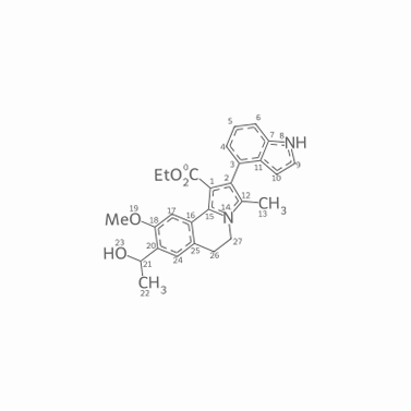 CCOC(=O)c1c(-c2cccc3[nH]ccc23)c(C)n2c1-c1cc(OC)c(C(C)O)cc1CC2